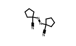 N#CC1(N=NC2(C#N)CCCC2)CCCC1